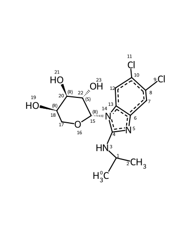 CC(C)Nc1nc2cc(Cl)c(Cl)cc2n1[C@@H]1OC[C@@H](O)[C@@H](O)[C@@H]1O